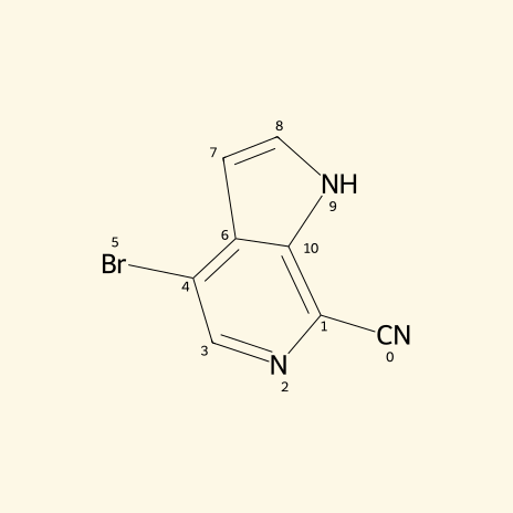 N#Cc1ncc(Br)c2cc[nH]c12